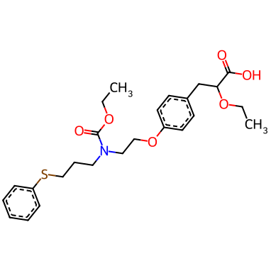 CCOC(=O)N(CCCSc1ccccc1)CCOc1ccc(CC(OCC)C(=O)O)cc1